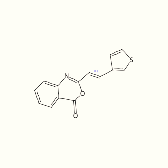 O=c1oc(/C=C/c2ccsc2)nc2ccccc12